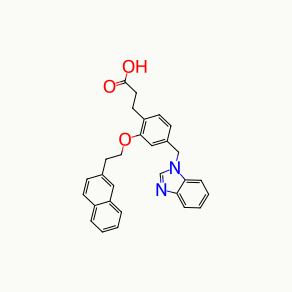 O=C(O)CCc1ccc(Cn2cnc3ccccc32)cc1OCCc1ccc2ccccc2c1